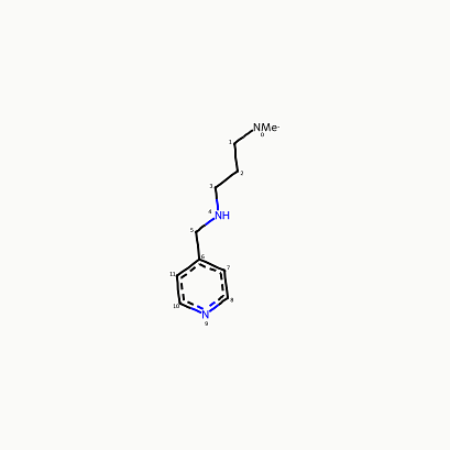 C[N]CCCNCc1ccncc1